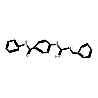 N=C(NCc1ccccc1)Nc1ccc(C(=O)Nc2ccccc2)cc1